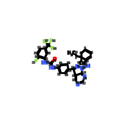 CCC1(C)CC=CC=C1Nn1nc(-c2ccc(NC(=O)Nc3cc(C(F)(F)F)ccc3F)cc2)c2cncnc21